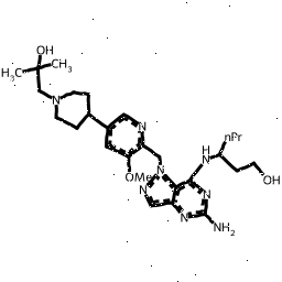 CCCC(CCO)Nc1nc(N)nc2cnn(Cc3ncc(C4CCN(CC(C)(C)O)CC4)cc3OC)c12